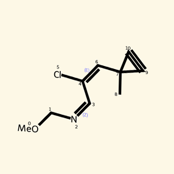 COC/N=C\C(Cl)=C/C1(C)C#C1